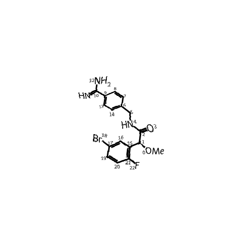 CO[C@H](C(=O)NCc1ccc(C(=N)N)cc1)c1cc(Br)ccc1F